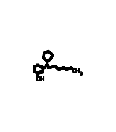 CC/C=C/CCCN(c1cccc(O)c1)C1CCCCC1